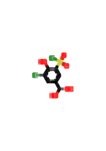 O=S(=O)(Cl)c1cc(C(O)O)cc(Cl)c1O